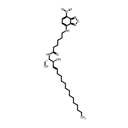 CCCCCCCCCCCCC/C=C/[C@H](O)[C@H](CO)NC(=O)CCCCCNc1ccc([N+](=O)[O-])c2nonc12